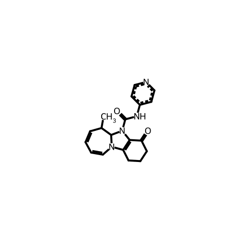 CC1C=CC=CN2C3=C(C(=O)CCC3)N(C(=O)Nc3ccncc3)C12